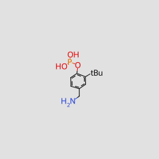 CC(C)(C)c1cc(CN)ccc1OP(O)O